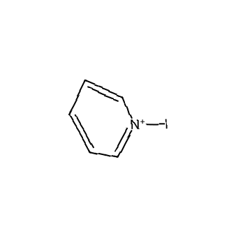 I[n+]1ccccc1